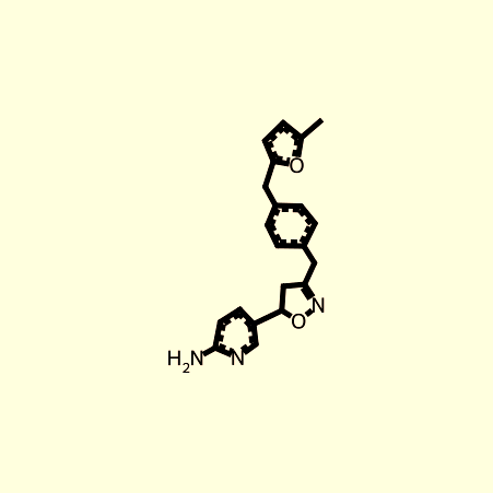 Cc1ccc(Cc2ccc(CC3=NOC(c4ccc(N)nc4)C3)cc2)o1